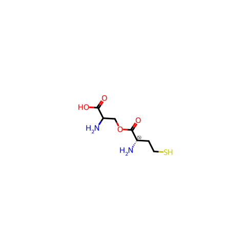 NC(COC(=O)[C@@H](N)CCS)C(=O)O